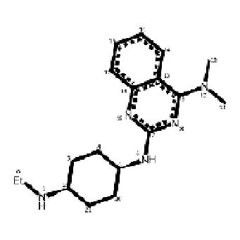 CCN[C@H]1CC[C@@H](Nc2nc(N(C)C)c3ccccc3n2)CC1